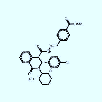 COC(=O)c1ccc(CONC(=O)[C@@H]2c3ccccc3C(=O)N([C@H]3CCCC[C@@H]3O)[C@H]2c2ccc(Cl)cc2Cl)cc1